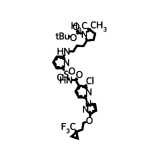 CC(C)(C)OC(=O)N1C(CCCNc2cccc(S(=O)(=O)NC(=O)c3ccc(-n4ccc(OCCC5(C(F)(F)F)CC5)n4)nc3Cl)n2)CCC1(C)C